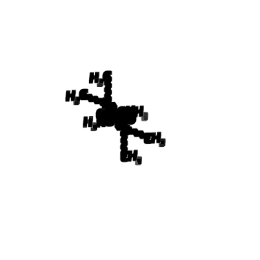 CCCCCCCCN(CCCCCCCC)c1ccc(C2C(O)C(c3ccc(N(CCCCCCCC)CCCCCCCC)cc3NC(C)=O)C2O)c(NC(C)=O)c1